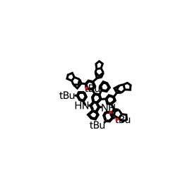 CC(C)(C)c1cc(Nc2c3ccccc3c(Nc3cc(C(C)(C)C)cc(C(C)(C)C)c3)c3c(-c4cc(C5CC6CC5C5CCCC65)cc(C5CC6CC5C5CCCC65)c4)c(-c4ccccc4)c(-c4cc(C5CC6CC5C5CCCC65)cc(C5CC6CC5C5CCCC65)c4)cc23)cc(C(C)(C)C)c1